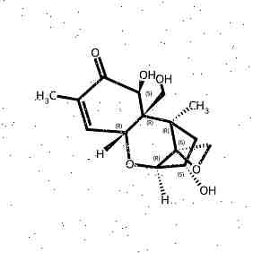 CC1=C[C@H]2O[C@@H]3[C@@H](O)C[C@](C)([C@@]2(CO)[C@H](O)C1=O)[C@]31CO1